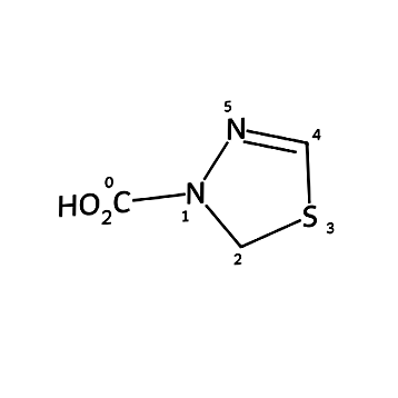 O=C(O)N1CSC=N1